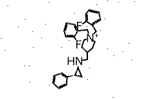 Fc1ccccc1C[N+]1(Cc2ccccc2F)CCC(CN[C@@H]2C[C@H]2c2ccccc2)CC1